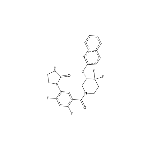 O=C(c1cc(N2CCNC2=O)c(F)cc1F)N1CCC(F)(F)[C@@H](Oc2ccc3ccccc3n2)C1